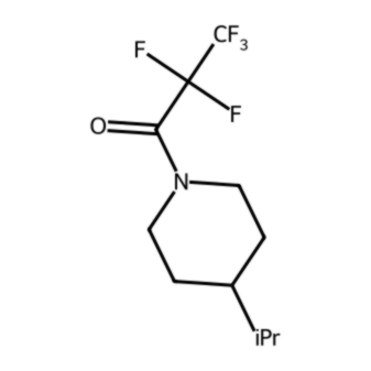 CC(C)C1CCN(C(=O)C(F)(F)C(F)(F)F)CC1